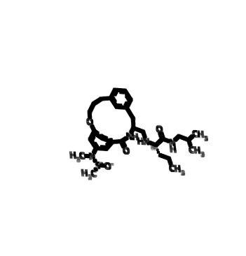 CCC[C@H](NCC1Cc2cccc(c2)CCCOc2cc(cc(N(C)[S+](C)[O-])c2)C(=O)N1)C(=O)NCC(C)C